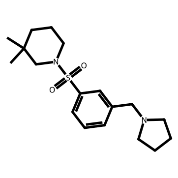 CC1(C)CCCN(S(=O)(=O)c2cccc(CN3CCCC3)c2)C1